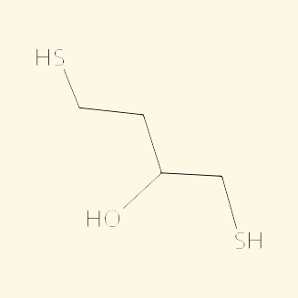 OC(CS)CCS